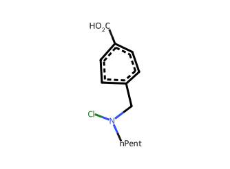 CCCCCN(Cl)Cc1ccc(C(=O)O)cc1